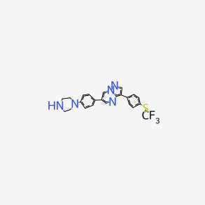 FC(F)(F)Sc1ccc(-c2cnn3cc(-c4ccc(N5CCNCC5)cc4)cnc23)cc1